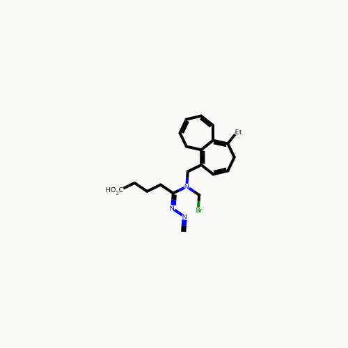 C=N/N=C(/CCCC(=O)O)N(CBr)CC1=C2CC=CC=CC2=C(CC)CC=C1